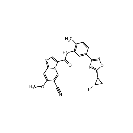 COc1cc2ncc(C(=O)Nc3cc(-c4noc([C@H]5C[C@@H]5F)n4)ccc3C)n2cc1C#N